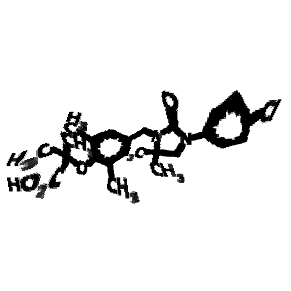 Cc1cc(CN2C(=O)N(c3ccc(Cl)cc3)CC2(C)C)cc(C)c1OC(C)(C)C(=O)O